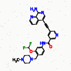 CN1CCN(Cc2ccc(NC(=O)c3cncc(C#Cc4cnc(N)c5ncccc45)c3)cc2OC(F)F)CC1